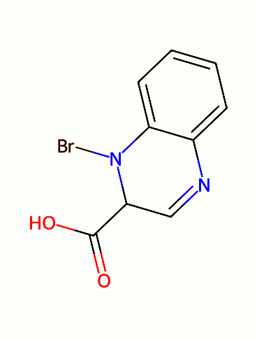 O=C(O)C1C=Nc2ccccc2N1Br